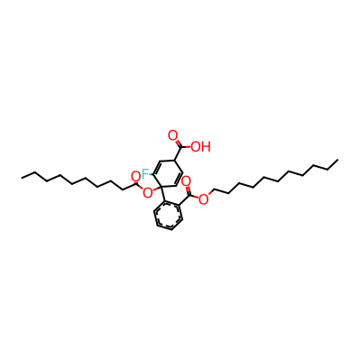 CCCCCCCCCCCOC(=O)c1ccccc1C1(OC(=O)CCCCCCCCC)C=CC(C(=O)O)C=C1F